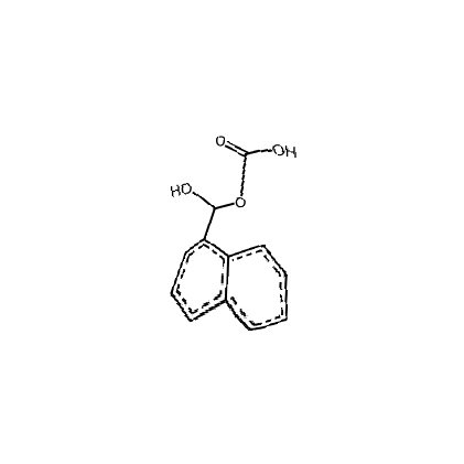 O=C(O)OC(O)c1cccc2ccccc12